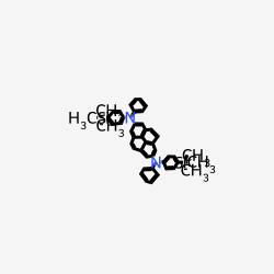 C[Si](C)(C)c1ccc(N(c2ccccc2)c2cc3ccc4cc(N(c5ccccc5)c5ccc([Si](C)(C)C)cc5)cc5ccc(c2)c3c45)cc1